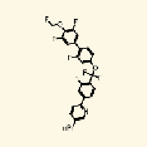 CCCc1ccc(-c2ccc(C(F)(F)Oc3ccc(-c4cc(F)c(OCF)c(F)c4)c(F)c3)c(F)c2)nc1